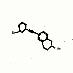 COC1CCc2cc(C#Cc3cccc(Br)c3)ccc2C1